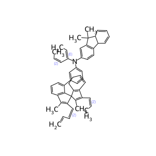 C=C/C=C\C1=C(C)c2cccc(-c3cccc(N(C(/C=C\C)=C/C)c4ccc5c(c4)C(C)(C)C4C=CC=CC54)c3)c2C12C(C)=C(/C=C\C)C1=C2CCC=C1